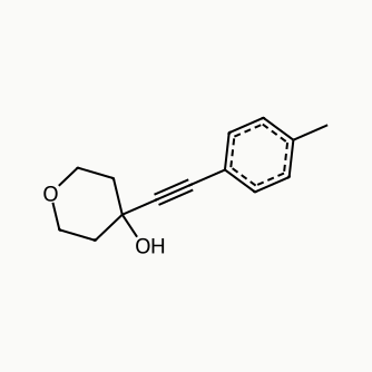 Cc1ccc(C#CC2(O)CCOCC2)cc1